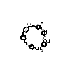 Cc1ccc(OCCc2ccc(CN3CCN(C(=O)/C=C/c4ccc(Oc5ccc(OCc6ccccc6Cl)cn5)c(F)c4)CC3)cc2)cc1